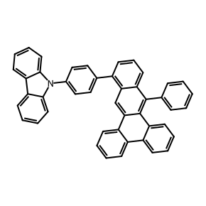 c1ccc(-c2c3cccc(-c4ccc(-n5c6ccccc6c6ccccc65)cc4)c3cc3c4ccccc4c4ccccc4c23)cc1